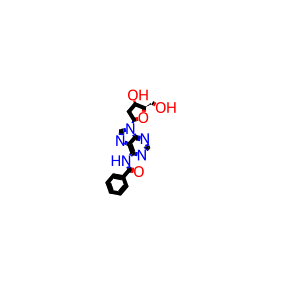 O=C(Nc1ncnc2c1ncn2[C@H]1C[C@@H](O)[C@H](CO)O1)c1ccccc1